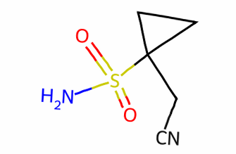 N#CCC1(S(N)(=O)=O)CC1